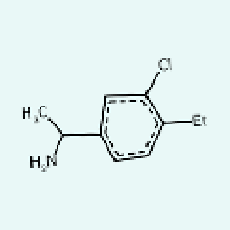 CCc1ccc(C(C)N)cc1Cl